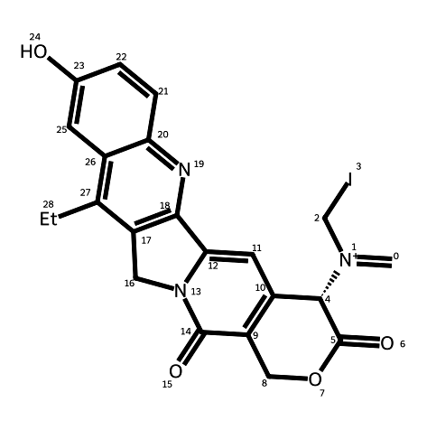 C=[N+](CI)[C@@H]1C(=O)OCc2c1cc1n(c2=O)Cc2c-1nc1ccc(O)cc1c2CC